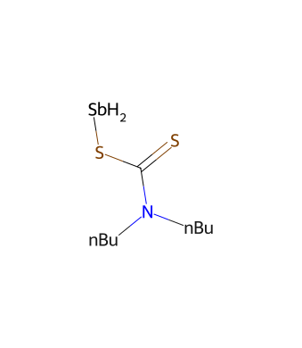 CCCCN(CCCC)C(=S)[S][SbH2]